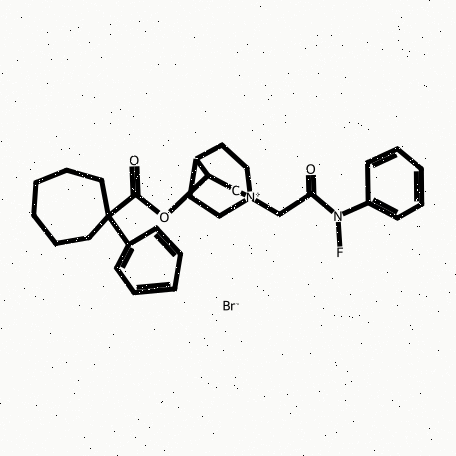 O=C(C[N+]12CCC(CC1)C(OC(=O)C1(c3ccccc3)CCCCCC1)C2)N(F)c1ccccc1.[Br-]